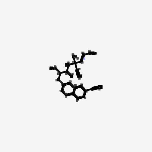 C#Cc1cnc2ccc(OC(SC)C(=O)NC(C)(C#C)/C=N/OC)cc2c1